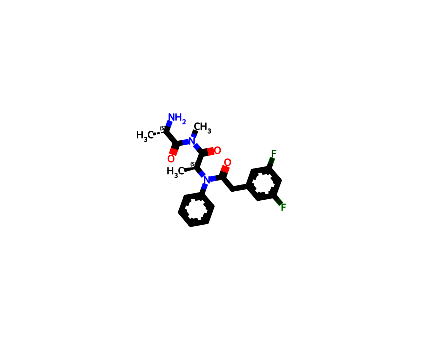 C[C@H](N)C(=O)N(C)C(=O)[C@H](C)N(C(=O)Cc1cc(F)cc(F)c1)c1ccccc1